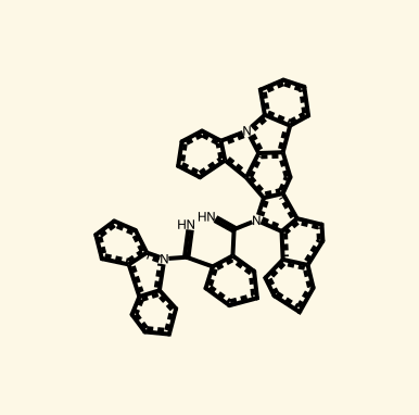 N=C(c1ccccc1C(=N)n1c2c3ccccc3ccc2c2cc3c4ccccc4n4c5ccccc5c(c21)c34)n1c2ccccc2c2ccccc21